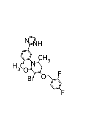 Cc1ccc(-c2ncc[nH]2)cc1N1C(=O)C(Br)=C(OCc2ccc(F)cc2F)CC1C